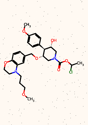 COCCCN1CCOc2ccc(CO[C@H]3CN(C(=O)OC(C)Cl)C[C@@H](O)[C@@H]3c3ccc(OC)cc3)cc21